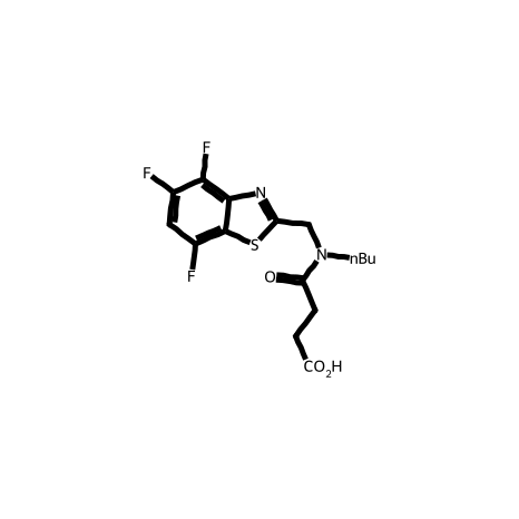 CCCCN(Cc1nc2c(F)c(F)cc(F)c2s1)C(=O)CCC(=O)O